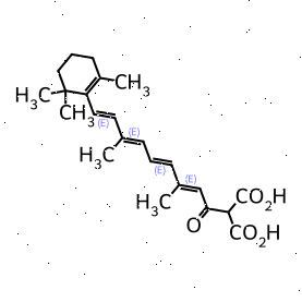 CC1=C(/C=C/C(C)=C/C=C/C(C)=C/C(=O)C(C(=O)O)C(=O)O)C(C)(C)CCC1